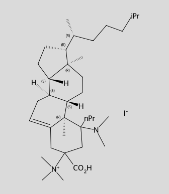 CCCC1(N(C)C)CC(C(=O)O)([N+](C)(C)C)CC2=CC[C@H]3[C@@H]4CC[C@H]([C@H](C)CCCC(C)C)[C@@]4(C)CC[C@@H]3[C@]21C.[I-]